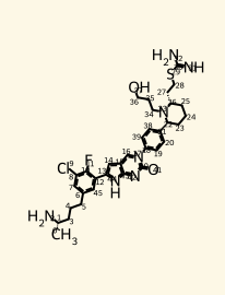 C[C@H](N)CCCc1cc(Cl)c(F)c(-c2cc3cn(-c4ccc([C@@H]5CCC[C@@H](CCSC(=N)N)N5CCCO)cc4)c(=O)nc3[nH]2)c1